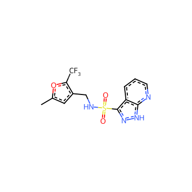 Cc1cc(CNS(=O)(=O)c2n[nH]c3ncccc23)c(C(F)(F)F)o1